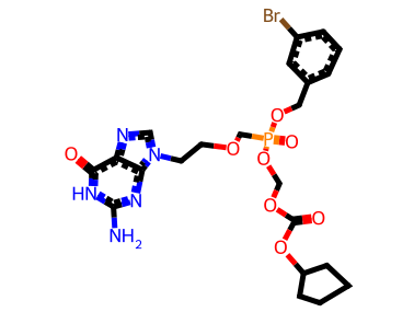 Nc1nc2c(ncn2CCOCP(=O)(OCOC(=O)OC2CCCC2)OCc2cccc(Br)c2)c(=O)[nH]1